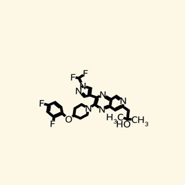 CC(C)(O)Cc1cc2nc(N3CCC(Oc4ccc(F)cc4F)CC3)c(-c3cnn(C(F)F)c3)nc2cn1